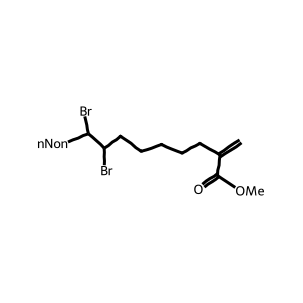 C=C(CCCCCC(Br)C(Br)CCCCCCCCC)C(=O)OC